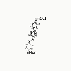 CCCCCCCCCC1CCC(CCc2cnc(-c3ccc(OCCCCCCCC)cc3)nc2)CC1